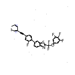 C/C=C\C(C#Cc1ccc(-c2ccc3nc(C(F)(F)Oc4cc(F)c(F)c(F)c4)sc3c2)c(F)c1)=C/I